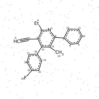 C#Cc1c(CC)nc(-c2ccccc2)c(C)c1-c1ccc(F)cc1